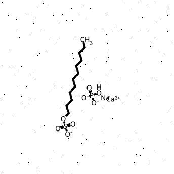 CCCCCCCCCCCCOS(=O)(=O)[O-].O=P([O-])([O-])O.[Ca+2].[Na+]